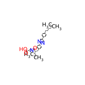 CCC(C)C(Cc1ccc(-c2ncc(-c3ccc(CCCCC(C)C)cc3)cn2)cc1)C(=O)N1CC(C(=O)O)C1